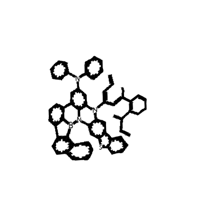 C=C/C=C(\C=C(/C)C1=C(C(C)CC)CCC=C1)N1c2cc3c(cc2N2B4c5c(cccc5-c5ccc6ccccc6c54)-c4cc(N(c5ccccc5)c5ccccc5)cc1c42)sc1ccccc13